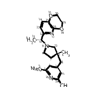 COc1cc(C[C@]2(C)CCN([C@H](C)c3ccc4c(n3)OCCO4)C2)cc(C)n1